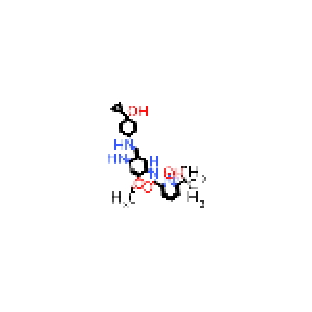 CCOC1=CC(=N)/C(=C\N[C@H]2CC[C@@](O)(C3CC3)CC2)C=C1NC(=O)c1cccc(C(C)C)[n+]1O